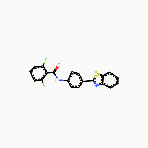 O=C(Nc1ccc(-c2nc3ccccc3s2)cc1)c1c(F)cccc1F